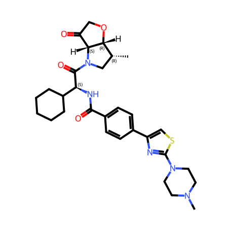 C[C@@H]1CN(C(=O)[C@@H](NC(=O)c2ccc(-c3csc(N4CCN(C)CC4)n3)cc2)C2CCCCC2)[C@@H]2C(=O)CO[C@H]12